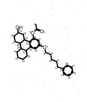 CC(=O)Oc1cc(OCCCCCc2ccccc2)cc2c1C1CC(O)CCC1C1CCCCC21